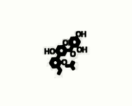 C=C(C)COc1c(CC)cccc1-c1cc(C(=O)c2ccc(O)cc2O)c(O)cc1O